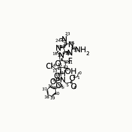 CCOC(=O)[C@H](C)N[P@](=O)(OC[C@@]1(CCl)O[C@@H](n2cnc3c(N(C)C)nc(N)nc32)[C@H](F)[C@@H]1O)Oc1ccccc1